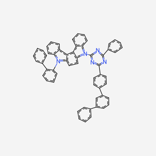 c1ccc(-c2cccc(-c3ccc(-c4nc(-c5ccccc5)nc(-n5c6ccccc6c6c7c8ccccc8n(-c8ccccc8-c8ccccc8)c7ccc65)n4)cc3)c2)cc1